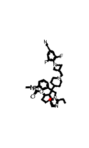 CCc1nccn1CC(c1cccc(F)c1)(C1CCN(CC2CN(c3c(F)cc(C#N)cc3F)C2)CC1)C1CCCC1OC(=O)NC